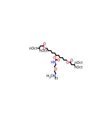 CCCCCCCCC(CCCCCCCC)CC(=O)OCCCCCC(CCCCCOC(=O)CC(CCCCCCCC)CCCCCCCC)OC(=O)NCCOCCN(C)CC